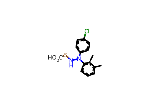 Cc1cccc(N(NSC(=O)O)c2ccc(Cl)cc2)c1C